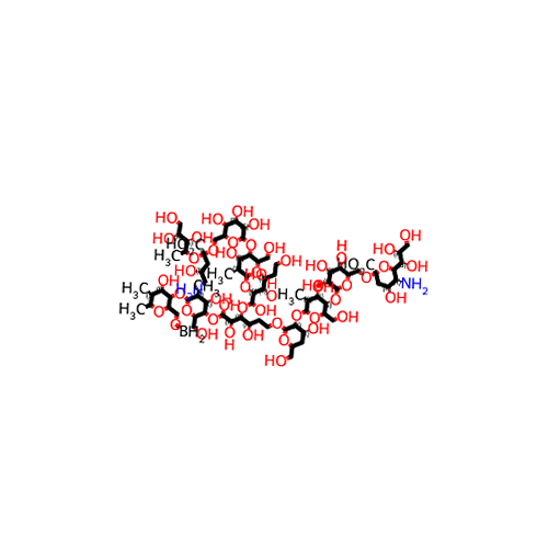 BOCC1OC(C)[C@@H](C)[C@@H](O)C1OC1OC(CO)C(OC(O)[C@H](O)[C@@H](OC(O)[C@@H](OC2OC(CO)C(OC3OC(COC(C[C@@H](O)CN)(OC(C)[C@@H](O)[C@H](O)CO)C(=O)O)C(O)[C@@H](O)[C@@H]3O)[C@H](O)[C@@H]2C)[C@H](O)[C@@H](O)CCO)[C@H](O)CCOC2OC(CO)C[C@@H](O)[C@H]2OC2OC(CO)[C@@H](OC3OC(COC4(C(=O)O)C[C@@H](O)[C@@H](N)C([C@@H](O)[C@H](O)CO)O4)C(O)[C@@H](O)[C@@H]3O)[C@H](O)[C@@H]2C)[C@H](O)[C@@H]1C